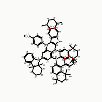 CC(C)(C)c1ccc(N2c3cc(N4c5ccccc5C5(C)CCCCC45C)cc4c3B(c3cc5c(cc3N4c3ccc4c(c3-c3ccccc3)C(C)(C)CCC4(C)C)C(C)(C)CCC5(C)C)c3sc4cc5c(cc4c32)C2(C)CCC5(C)CC2)cc1